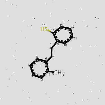 Cc1ccccc1CCc1ccccc1S